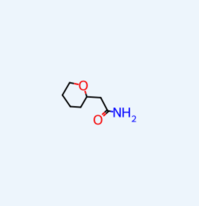 NC(=O)CC1CCCCO1